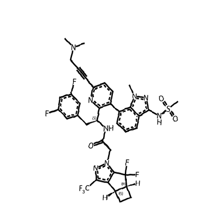 CN(C)CC#Cc1ccc(-c2cccc3c(NS(C)(=O)=O)nn(C)c23)c([C@H](Cc2cc(F)cc(F)c2)NC(=O)Cn2nc(C(F)(F)F)c3c2C(F)(F)[C@@H]2CC[C@H]32)n1